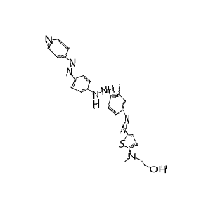 Cc1cc(N=Nc2ccc(N(C)CCO)s2)ccc1NNc1ccc(N=Nc2ccncc2)cc1